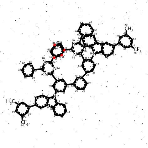 Cc1cc(-c2ccc3c(c2)c2ccccc2n3-c2cc(-c3cccc(-c4ccc(-n5c6ccccc6c6cc(-c7cc(C)cc(C(F)(F)F)c7)ccc65)c(-c5nc(-c6ccccc6)nc(-c6ccccc6)n5)c4)c3)cc(-c3nc(-c4ccccc4)nc(-c4ccccc4)n3)c2)cc(C(F)(F)F)c1